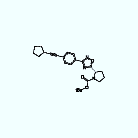 CC(C)(C)OC(=O)N1CCC[C@H]1c1nc(-c2ccc(C#CC3CCCC3)cc2)no1